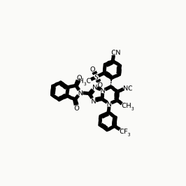 [C-]#[N+]C1=C(C)N(c2cccc(C(F)(F)F)c2)c2nc(N3C(=O)c4ccccc4C3=O)nn2[C@@H]1c1ccc(C#N)cc1S(C)(=O)=O